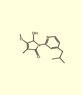 COC1=C(C)C(=O)N(c2cc(CC(C)C)ccn2)C1O